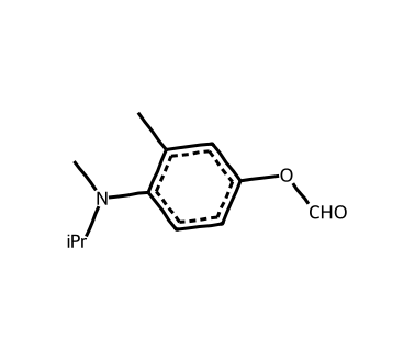 Cc1cc(OC=O)ccc1N(C)C(C)C